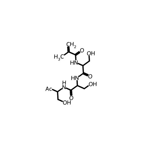 C=C(C)C(=O)NC(CO)C(=O)NC(CO)C(=O)NC(CO)C(C)=O